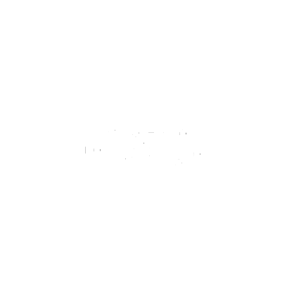 CC1(OC2COC(O)C(O)C2O)OC2C(O)C(O)COC21